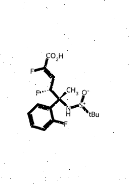 CC(C)(C)[S+]([O-])N[C@](C)(c1ccccc1F)[C@H](F)/C=C(\F)C(=O)O